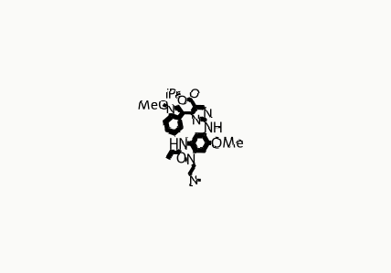 C=CC(=O)Nc1cc(Nc2ncc(C(=O)OC(C)C)c(-c3cn(OC)c4ccccc34)n2)c(OC)cc1N(C)CCN(C)C